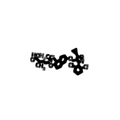 C=N/C(=C\C=C(/C)C(=O)O)Oc1ccc2cc(OCc3c(-c4c(Cl)cccc4Cl)noc3C3CC3)ccc2c1Cl